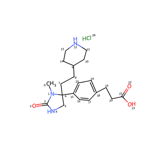 CN1C(=O)NCC1(CCC1CCNCC1)c1ccc(CCC(=O)O)cc1.Cl